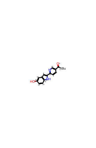 CC(C)(C)C(=O)c1ccc(-c2cc3cc(O)ccc3[nH]2)nc1